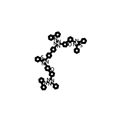 c1ccc(-c2nc(-c3ccc4oc5cc(-c6nc(-c7ccc(-c8ccc(-c9nc(-c%10ccc%11oc%12c(-c%13nc(-c%14ccccc%14)c%14sc%15ccccc%15c%14n%13)cccc%12c%11c%10)nc(-n%10c%11ccccc%11c%11ccccc%11%10)n9)cc8)cc7)c7sc8ccccc8c7n6)ccc5c4c3)nc(-n3c4ccccc4c4ccccc43)n2)cc1